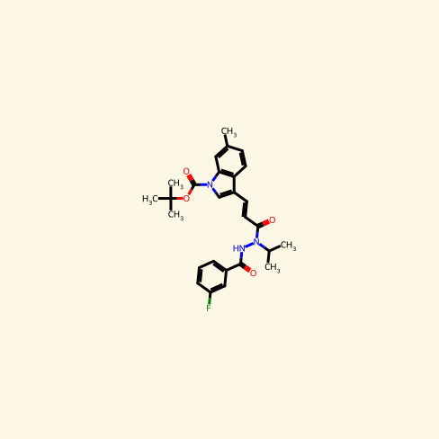 Cc1ccc2c(C=CC(=O)N(NC(=O)c3cccc(F)c3)C(C)C)cn(C(=O)OC(C)(C)C)c2c1